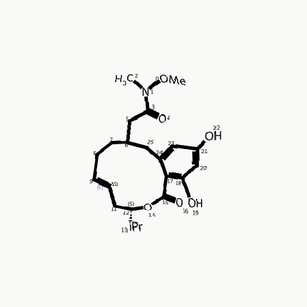 CON(C)C(=O)CC1CC/C=C/C[C@@H](C(C)C)OC(=O)c2c(O)cc(O)cc2C1